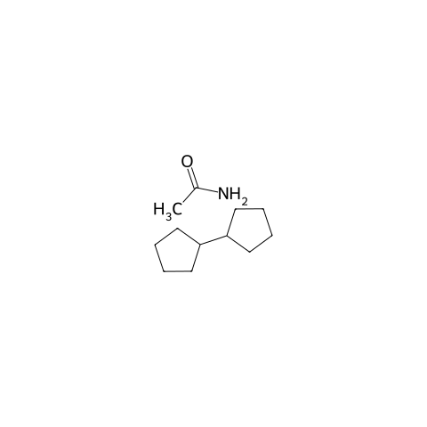 C1CCC(C2CCCC2)C1.CC(N)=O